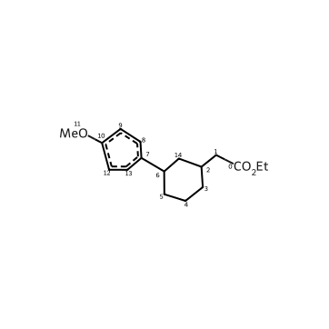 CCOC(=O)CC1CCCC(c2ccc(OC)cc2)C1